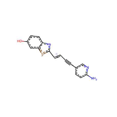 Nc1ccc(C#C/C=C/c2nc3ccc(O)cc3s2)cn1